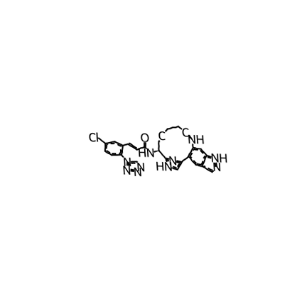 O=C(/C=C/c1cc(Cl)ccc1-n1cnnn1)N[C@H]1CCCCCNc2cc3[nH]ncc3cc2-c2c[nH]c1n2